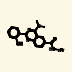 CCCNC(=O)c1ccc2nc(-c3ccccc3O)nc(N(C)C)c2c1